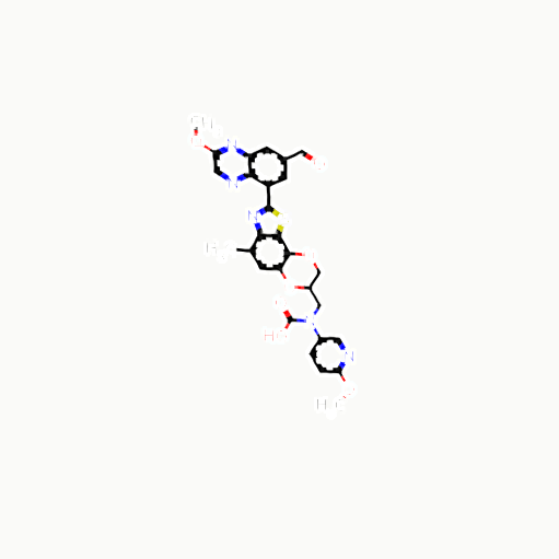 COc1ccc(N(CC2COc3c(cc(C)c4nc(-c5cc(C=O)cc6nc(OC)cnc56)sc34)O2)C(=O)O)cn1